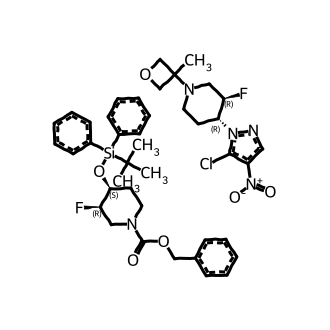 CC(C)(C)[Si](O[C@H]1CCN(C(=O)OCc2ccccc2)C[C@H]1F)(c1ccccc1)c1ccccc1.CC1(N2CC[C@@H](n3ncc([N+](=O)[O-])c3Cl)[C@H](F)C2)COC1